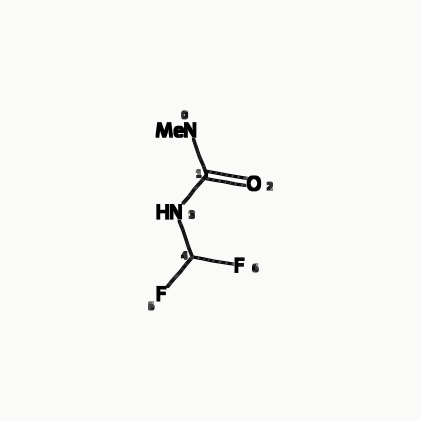 CNC(=O)NC(F)F